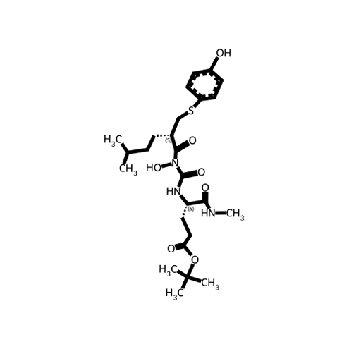 CNC(=O)[C@H](CCC(=O)OC(C)(C)C)NC(=O)N(O)C(=O)[C@H](CCC(C)C)CSc1ccc(O)cc1